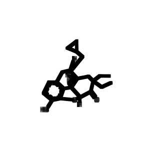 CCC1(CC)C[C@H]2[C@H]3Cc4ccc(O)c5c4[C@@]2(CCN3CC2CC2)[C@@H](O5)C1=O